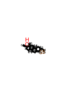 C#C[C@]1(O)CC[C@H]2[C@@H]3CCC4=CC5(CCSS5)CC[C@@H]4[C@H]3CC[C@@]21CC